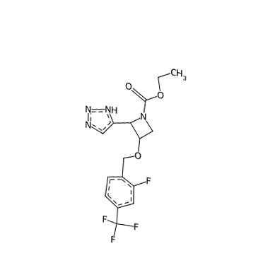 CCOC(=O)N1CC(OCc2ccc(C(F)(F)F)cc2F)C1c1cnn[nH]1